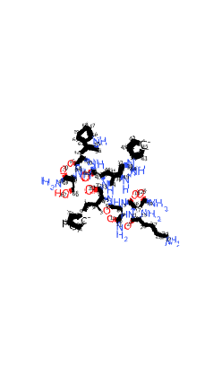 CC[C@H](C)[C@H](NC(=O)[C@H](CC(N)=O)NC(=O)[C@H](CC(N)=O)NC(=O)[C@@H](N)CCCCN)C(=O)N1CC(C2=CN(c3cc[cH-]c3)NN2)C[C@H]1C(=O)N[C@@H](Cc1c[nH]c2ccccc12)C(=O)N[C@@H](CO)C(N)=O.[Fe+2].c1cc[cH-]c1